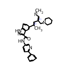 C=N/C=C(\C=C(/C)c1ccc2[nH]nc(C(=O)Nc3ccc(-c4ccccc4)nc3)c2c1)CN1CCCCC1